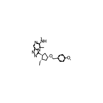 CC[C@H]1C[C@@H](OCc2ccc(OC)cc2)C[C@@H]1c1nnc2cnc(NC)c(C)n12